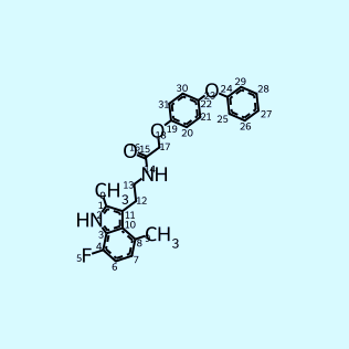 Cc1[nH]c2c(F)ccc(C)c2c1CCNC(=O)COc1ccc(Oc2ccccc2)cc1